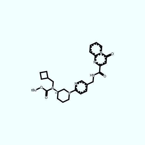 CC(C)(C)OC(=O)N(CC1CCC1)[C@@H]1CCCN(c2ccc(CNC(=O)c3cc(=O)n4ccccc4n3)cn2)C1